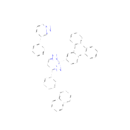 c1cncc(-c2cccc(-c3cc(-c4cccc(-c5cccc6ccccc56)c4)nc(-c4ccc5c6ccccc6c6ccccc6c5c4)n3)c2)c1